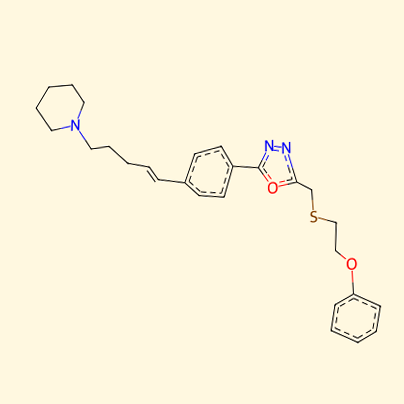 C(=C\c1ccc(-c2nnc(CSCCOc3ccccc3)o2)cc1)/CCCN1CCCCC1